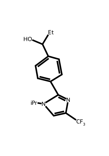 CCC(O)c1ccc(-c2nc(C(F)(F)F)cn2C(C)C)cc1